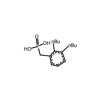 CCCCc1cccc(CP(=O)(O)O)c1CCCC